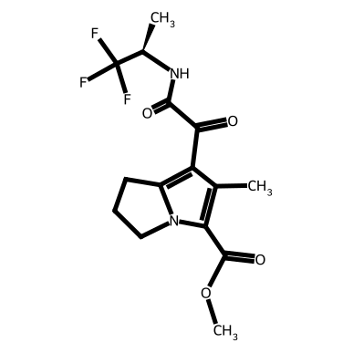 COC(=O)c1c(C)c(C(=O)C(=O)N[C@H](C)C(F)(F)F)c2n1CCC2